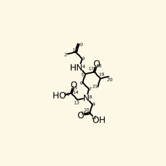 C=C(C)CNC(CCN(CC(=O)O)CC(=O)O)C(=O)C(C)C